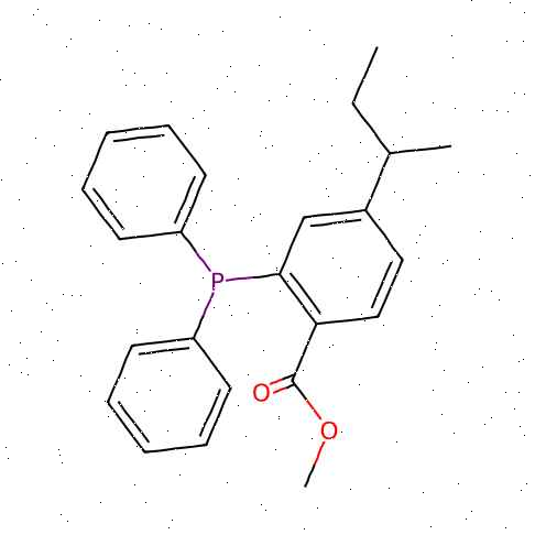 CCC(C)c1ccc(C(=O)OC)c(P(c2ccccc2)c2ccccc2)c1